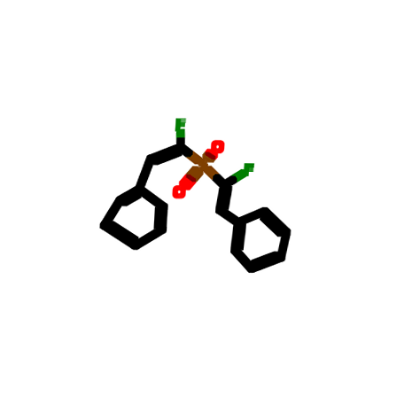 O=S(=O)(C(F)=Cc1ccccc1)C(F)=Cc1ccccc1